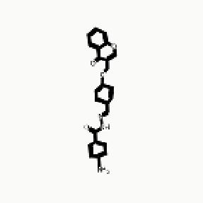 Nc1ccc(C(=O)N/N=C/c2ccc(OCc3coc4ccccc4c3=O)cc2)cc1